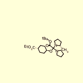 CCOC(=O)[C@H]1CC[C@H](OC(C(=O)OC(C)(C)C)(N2CCCC2)N2CCC[C@@H]2C)CC1